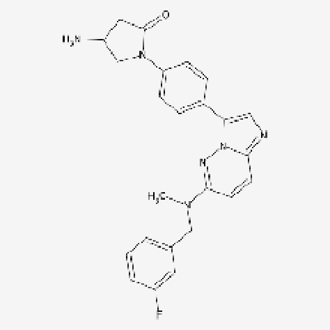 CN(Cc1cccc(F)c1)c1ccc2ncc(-c3ccc(N4CC(N)CC4=O)cc3)n2n1